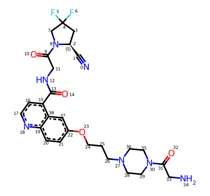 N#C[C@@H]1CC(F)(F)CN1C(=O)CNC(=O)c1ccnc2ccc(OCCCN3CCN(C(=O)CN)CC3)cc12